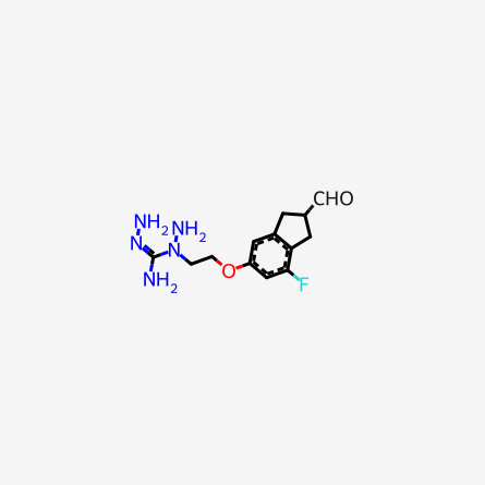 N/N=C(/N)N(N)CCOc1cc(F)c2c(c1)CC(C=O)C2